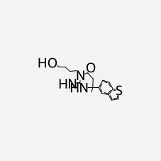 CC1(c2ccc3sccc3c2)CC(=O)N(CCCCO)C(=N)N1